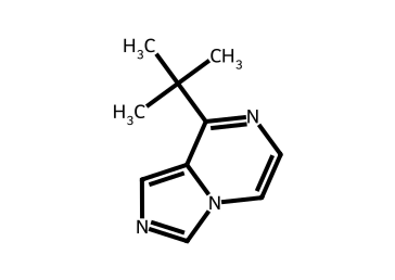 CC(C)(C)c1nccn2cncc12